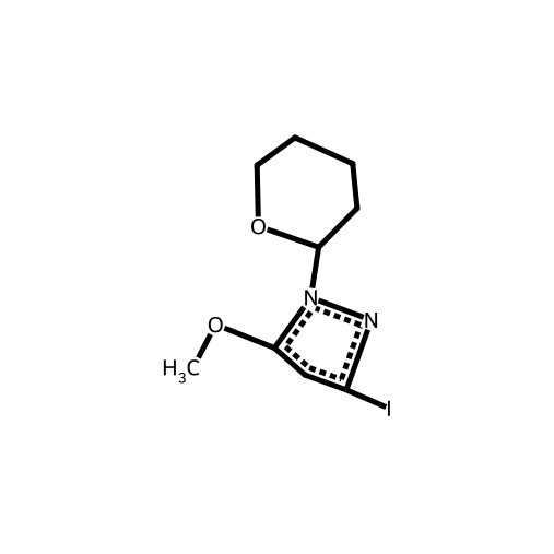 COc1cc(I)nn1C1CCCCO1